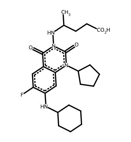 CC(CCC(=O)O)Nn1c(=O)c2cc(F)c(NC3CCCCC3)cc2n(C2CCCC2)c1=O